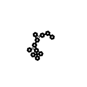 c1ccc(-c2cccc(-c3ccc(-n4c5ccccc5c5cc(-c6ccc7c(c6)c6ccc(C(c8ccccc8)(c8ccccc8)c8ccccc8)cc6n7-c6ccccc6)ccc54)cc3)c2)cc1